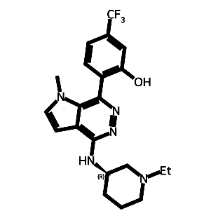 CCN1CCC[C@@H](Nc2nnc(-c3ccc(C(F)(F)F)cc3O)c3c2ccn3C)C1